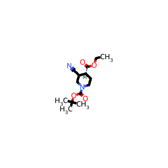 CCOC(=O)[C@@H]1CCN(C(=O)OC(C)(C)C)CC1C#N